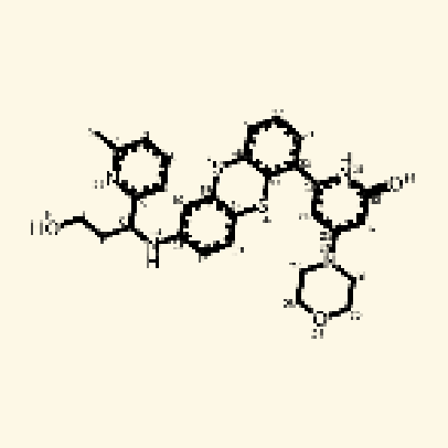 Cc1cccc(C(CCO)Nc2ccc3c(c2)Sc2cccc(-c4cc(N5CCOCC5)cc(=O)[nH]4)c2S3)n1